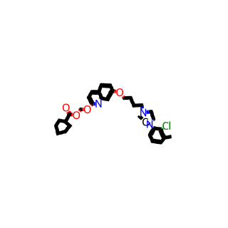 Cc1cccc(N2CCN(CCCCOc3ccc4ccc(OCOC(=O)C5CCCCC5)nc4c3)CC2)c1Cl